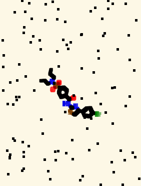 CCCN(CCC)S(=O)(=O)c1ccc(C(=O)Nc2nc(-c3ccc(Br)cc3)cs2)cc1